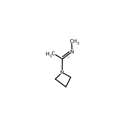 C/N=C(\C)N1CCC1